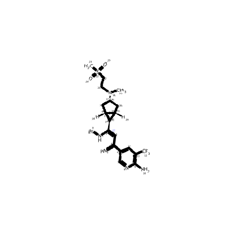 CC(C)N/C(=C\C(=N)c1cnc(N)c(C(F)(F)F)c1)[C@H]1[C@@H]2C[C@H](N(C)CCS(C)(=O)=O)C[C@@H]21